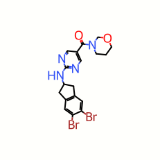 O=C(c1cnc(NC2Cc3cc(Br)c(Br)cc3C2)nc1)N1CCCOC1